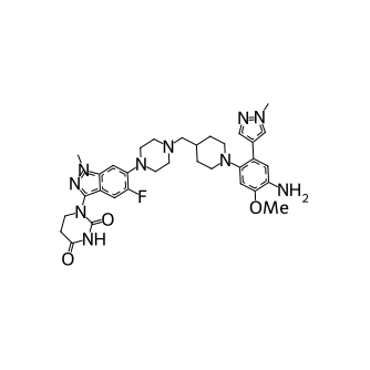 COc1cc(N2CCC(CN3CCN(c4cc5c(cc4F)c(N4CCC(=O)NC4=O)nn5C)CC3)CC2)c(-c2cnn(C)c2)cc1N